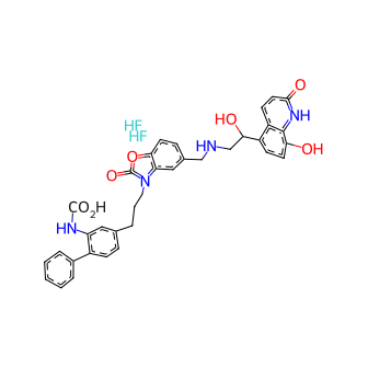 F.F.O=C(O)Nc1cc(CCCn2c(=O)oc3ccc(CNCC(O)c4ccc(O)c5[nH]c(=O)ccc45)cc32)ccc1-c1ccccc1